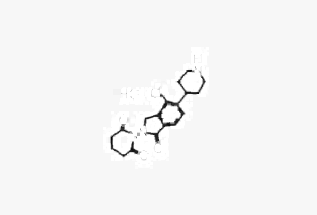 Cl.O=C1c2ccc(C3CCNCC3)c(Cl)c2CN1N1C(=O)CCCC1=O